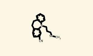 C[Se]CCCN1c2ccccc2CCc2ccc(C#N)cc21